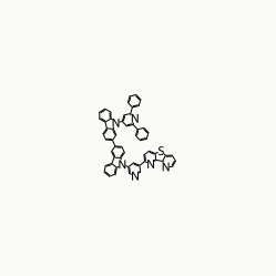 c1ccc(-c2cc(-n3c4ccccc4c4ccc(-c5ccc6c(c5)c5ccccc5n6-c5cncc(-c6ccc7sc8cccnc8c7n6)c5)cc43)cc(-c3ccccc3)n2)cc1